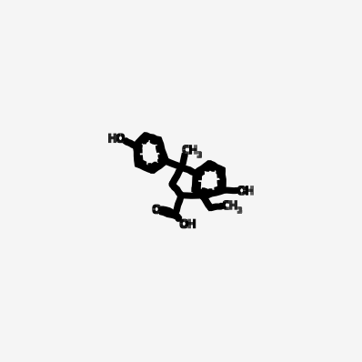 CCCC(CC(C)(c1ccc(O)cc1)c1ccc(O)cc1)C(=O)O